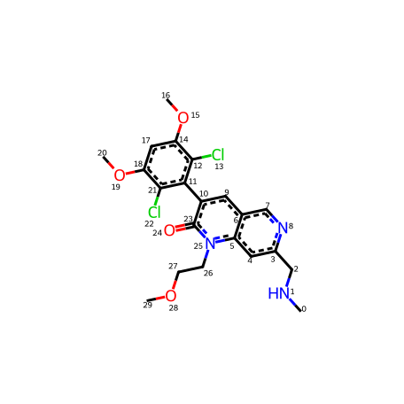 CNCc1cc2c(cn1)cc(-c1c(Cl)c(OC)cc(OC)c1Cl)c(=O)n2CCOC